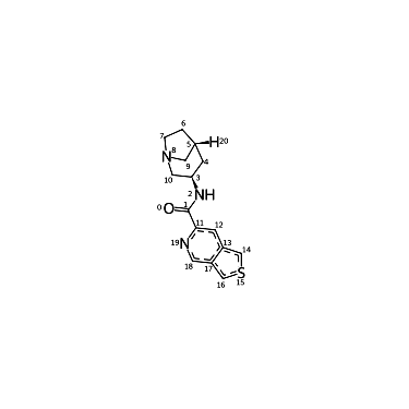 O=C(N[C@@H]1C[C@H]2CCN(C2)C1)c1cc2cscc2cn1